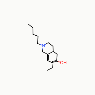 CCCCCN1CCC2CC(O)=C(CC)C=C2C1